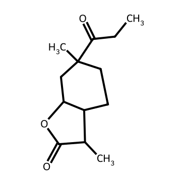 CCC(=O)C1(C)CCC2C(C1)OC(=O)C2C